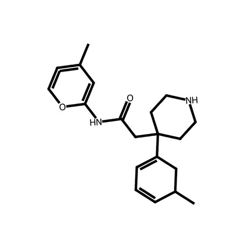 CC1=C=COC(NC(=O)CC2(C3=CC=CC(C)C3)CCNCC2)=C1